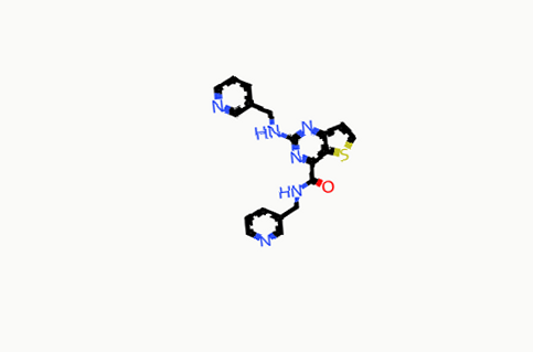 O=C(NCc1cccnc1)c1nc(NCc2cccnc2)nc2ccsc12